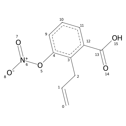 C=CCc1c(O[N+](=O)[O-])cccc1C(=O)O